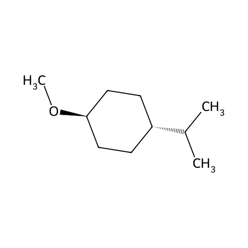 CO[C@H]1CC[C@H](C(C)C)CC1